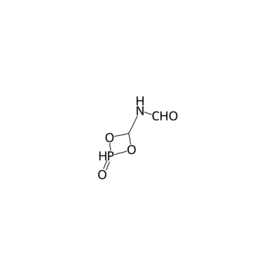 O=CNC1O[PH](=O)O1